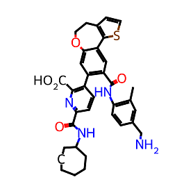 Cc1cc(CN)ccc1NC(=O)c1cc2c(cc1-c1ccc(C(=O)NC3CCCCCC3)nc1C(=O)O)OCCc1ccsc1-2